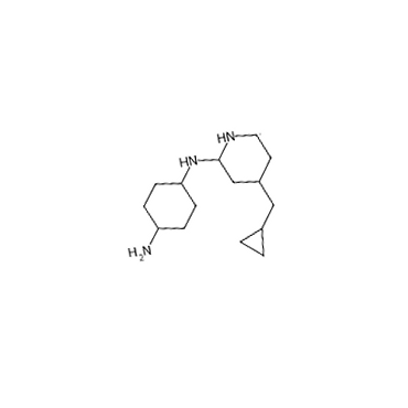 NC1CCC(NC2CC(CC3CC3)C[CH]N2)CC1